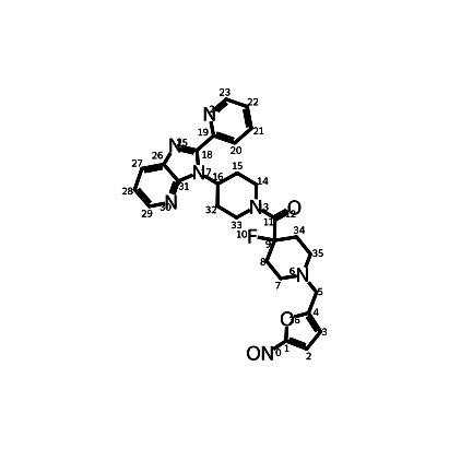 O=Nc1ccc(CN2CCC(F)(C(=O)N3CCC(n4c(-c5ccccn5)nc5cccnc54)CC3)CC2)o1